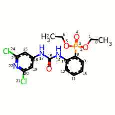 CCOP(=O)(OCC)c1ccccc1NC(=O)Nc1cc(Cl)nc(Cl)c1